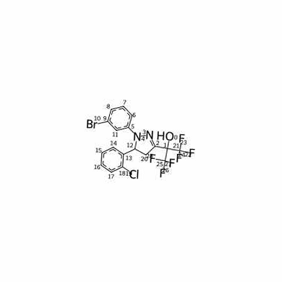 OC(C1=NN(c2cccc(Br)c2)C(c2ccccc2Cl)C1)(C(F)(F)F)C(F)(F)F